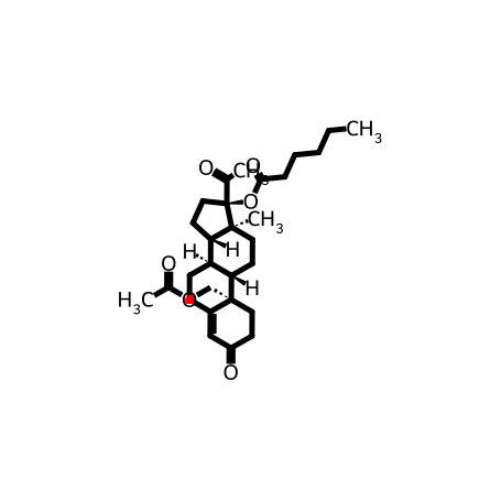 CCCCCC(=O)O[C@]1(C(C)=O)CC[C@H]2[C@@H]3CCC4=CC(=O)CC[C@]4(COC(C)=O)[C@H]3CC[C@@]21C